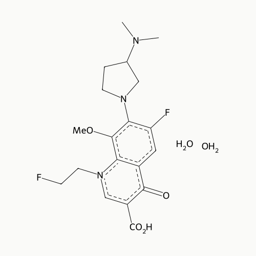 COc1c(N2CCC(N(C)C)C2)c(F)cc2c(=O)c(C(=O)O)cn(CCF)c12.O.O